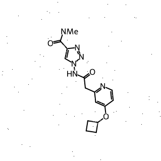 CNC(=O)c1cn(NC(=O)Cc2cc(OC3CCC3)ccn2)nn1